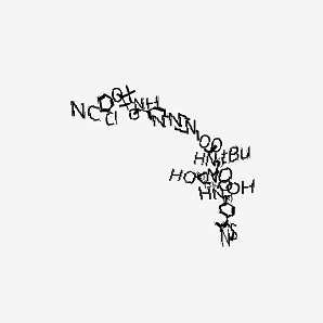 Cc1ncsc1-c1ccc([C@H](CO)NC(=O)[C@@H]2C[C@@H](O)CN2C(=O)[C@@H](NC(=O)COCCN2CCN(c3ccc(C(=O)NC4C(C)(C)C(Oc5ccc(C#N)c(Cl)c5)C4(C)C)cn3)CC2)C(C)(C)C)cc1